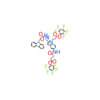 CN(Cc1cc2cc(NC(=O)CCC(=O)Oc3c(F)c(F)c(F)c(F)c3F)ccc2n1CCC(=O)Oc1c(F)c(F)c(F)c(F)c1F)N(C)C(=O)OCC1c2ccccc2-c2ccccc21